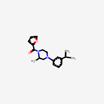 CC(C)c1c[c]cc(N2CCN(C(=O)c3ccco3)C(C)C2)c1